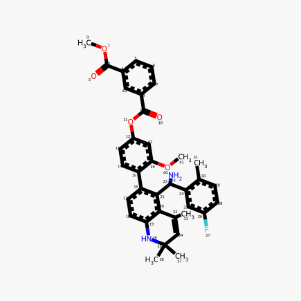 COC(=O)c1cccc(C(=O)Oc2ccc(-c3ccc4c(c3C(N)c3cc(F)ccc3C)C(C)=CC(C)(C)N4)c(OC)c2)c1